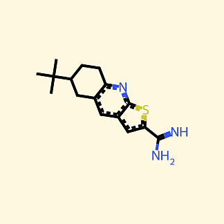 CC(C)(C)C1CCc2nc3sc(C(=N)N)cc3cc2C1